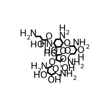 NCCC(O)C(=O)N[C@@H]1C[C@H](N)[C@@H](O[C@H]2O[C@H](CN)C[C@@H](O)[C@H]2N)[C@H](O[C@@H]2O[C@H](CO)[C@@H](O[C@H]3O[C@@H](CN)[C@@H](O)[C@H](O)[C@H]3N)[C@H]2O)[C@H]1O